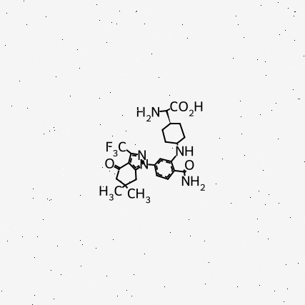 CC1(C)CC(=O)c2c(C(F)(F)F)nn(-c3ccc(C(N)=O)c(N[C@H]4CC[C@H](C(N)C(=O)O)CC4)c3)c2C1